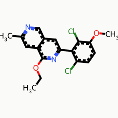 CCOc1nc(-c2c(Cl)ccc(OC)c2Cl)cc2cnc(C)cc12